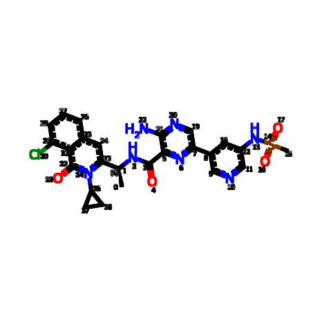 C[C@H](NC(=O)c1nc(-c2cncc(NS(C)(=O)=O)c2)cnc1N)c1cc2cccc(Cl)c2c(=O)n1C1CC1